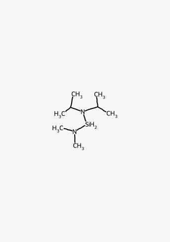 CC(C)N([SiH2]N(C)C)C(C)C